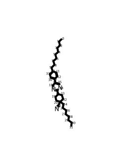 CCCCCCCCCCc1ccc(-c2cnc(C3CCC(C#N)(CCCCCCCC)CC3)nc2)cc1